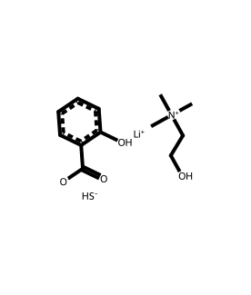 C[N+](C)(C)CCO.O=C([O-])c1ccccc1O.[Li+].[SH-]